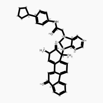 CC1C=c2c(ccc3c2=CC(=O)c2ccccc2-3)C(C)(N2CN(CC(=O)Nc3ccc(C4CCCC4)cc3)c3cncnc32)C1=O